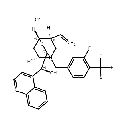 C=C[C@H]1C[N+]2(Cc3ccc(C(F)(F)F)c(F)c3)CC[C@H]1C[C@@H]2[C@@H](O)c1ccnc2ccccc12.[Cl-]